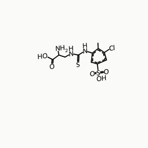 Cc1c(Cl)cc(S(=O)(=O)O)cc1NC(=S)NCC(N)C(=O)O